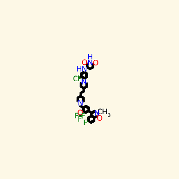 Cn1cc(-c2ccc(CN3CCC(CCC4CCN(c5ccc(NC6CCC(=O)NC6=O)cc5Cl)CC4)CC3)c(OC(F)(F)F)c2)c2cc(F)ccc2c1=O